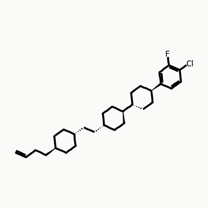 C=CCC[C@H]1CC[C@H](CC[C@H]2CC[C@H]([C@H]3CC[C@H](c4ccc(Cl)c(F)c4)CC3)CC2)CC1